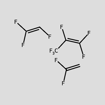 C=C(F)F.FC(F)=C(F)C(F)(F)F.FC=C(F)F